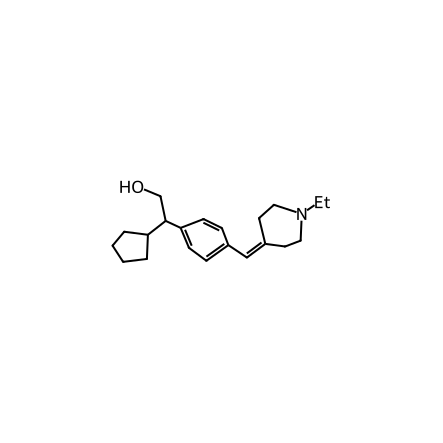 CCN1CCC(=Cc2ccc(C(CO)C3CCCC3)cc2)CC1